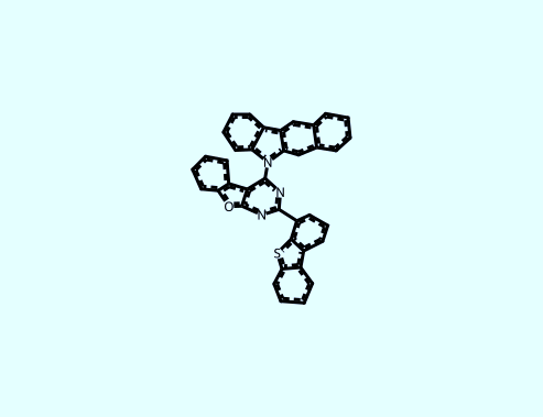 c1ccc2cc3c(cc2c1)c1ccccc1n3-c1nc(-c2cccc3c2sc2ccccc23)nc2oc3ccccc3c12